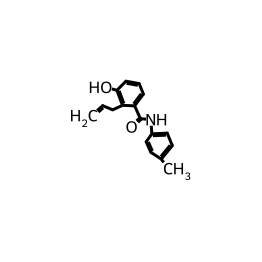 C=CCc1c(O)cccc1C(=O)Nc1ccc(C)cc1